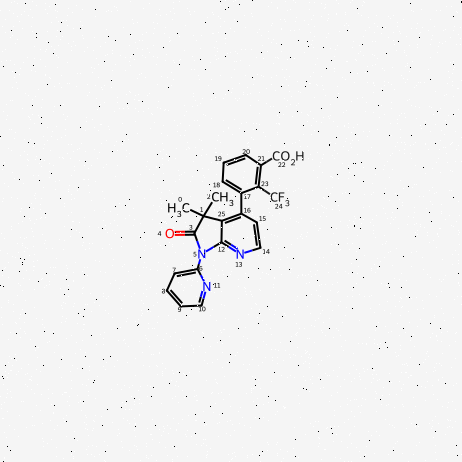 CC1(C)C(=O)N(c2ccccn2)c2nccc(-c3cccc(C(=O)O)c3C(F)(F)F)c21